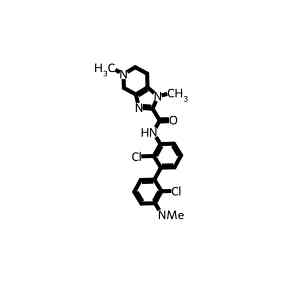 CNc1cccc(-c2cccc(NC(=O)c3nc4c(n3C)CCN(C)C4)c2Cl)c1Cl